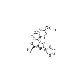 COc1ccc2c(C3CC(c4ccccc4)=NN3C(C)=O)cccc2c1